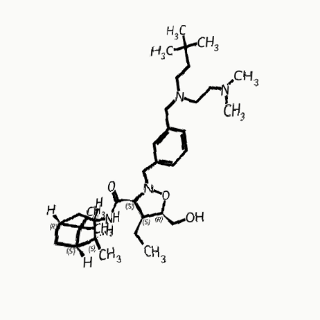 CC[C@@H]1[C@H](CO)ON(Cc2cccc(CN(CCN(C)C)CCC(C)(C)C)c2)[C@@H]1C(=O)N[C@H]1C[C@H]2C[C@@H]([C@@H]1C)C2(C)C